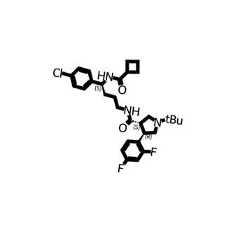 CC(C)(C)N1C[C@@H](C(=O)NCCC[C@H](NC(=O)C2CCC2)c2ccc(Cl)cc2)[C@H](c2ccc(F)cc2F)C1